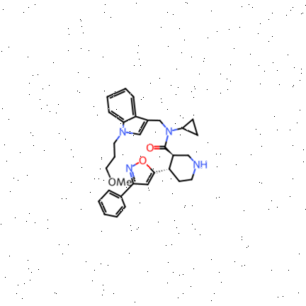 COCCCn1cc(CN(C(=O)[C@H]2CNCC[C@@H]2c2cc(-c3ccccc3)no2)C2CC2)c2ccccc21